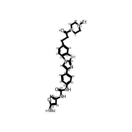 CCN1CCN(C(=O)CCc2ccc3c(c2)sc2nc(-c4ccc(NC(=O)Nc5cc(C(C)(C)C)on5)cc4)cn23)CC1